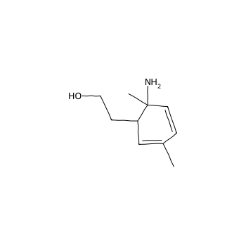 CC1=CC(CCO)C(C)(N)C=C1